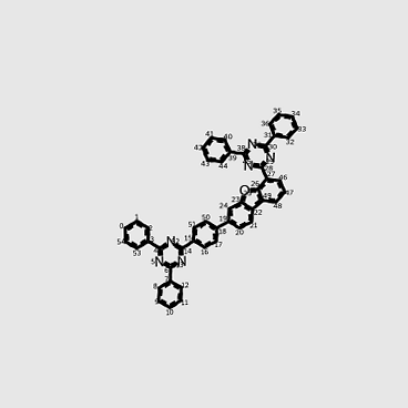 c1ccc(-c2nc(-c3ccccc3)nc(-c3ccc(-c4ccc5c(c4)oc4c(-c6nc(-c7ccccc7)nc(-c7ccccc7)n6)cccc45)cc3)n2)cc1